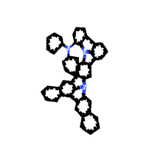 c1ccc(N(c2ccccc2)c2cccc3c4cccc5c6cc7c(cc6n(c23)c54)c2cc3ccccc3c3c4cc5ccccc5cc4n7c23)cc1